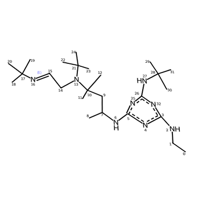 CCNc1nc(NC(C)CC(C)(C)N(C/C=N/C(C)(C)C)C(C)(C)C)nc(NC(C)(C)C)n1